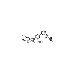 CNC(=O)Oc1cc(-c2ccc(OC[C@@](C)(N)CC(C)C)c(CO)c2)ccn1